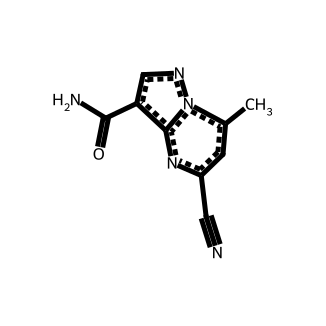 Cc1cc(C#N)nc2c(C(N)=O)cnn12